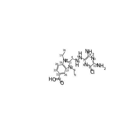 CCn1c(CNNc2nc(Cl)c(N)nc2N)[n+](CC)c2ccc(C(=O)O)cc21